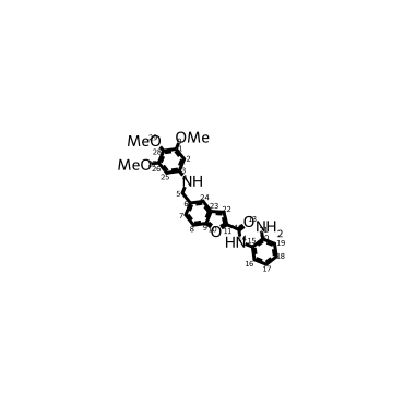 COc1cc(NCc2ccc3oc(C(=O)Nc4ccccc4N)cc3c2)cc(OC)c1OC